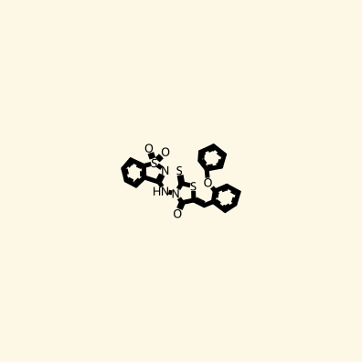 O=C1C(=Cc2ccccc2Oc2ccccc2)SC(=S)N1NC1=NS(=O)(=O)c2ccccc21